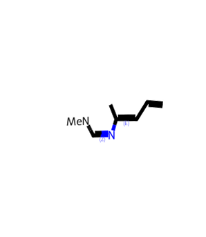 C=C/C=C(C)/N=C\NC